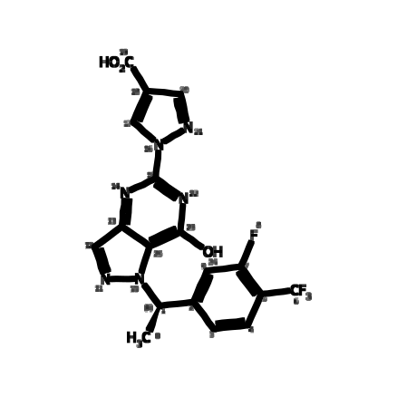 C[C@H](c1ccc(C(F)(F)F)c(F)c1)n1ncc2nc(-n3cc(C(=O)O)cn3)nc(O)c21